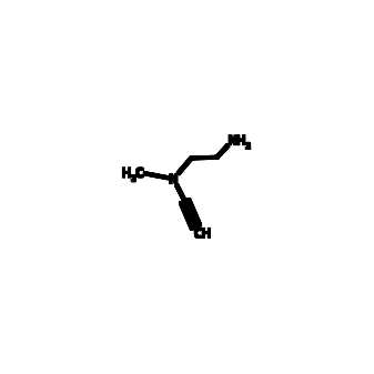 C#CN(C)CCN